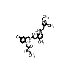 CCNC(=O)COc1ccc(Cl)cc1CNC(=O)Cc1c(C)ccn(NCc2cn(CC)nc2C)c1=O